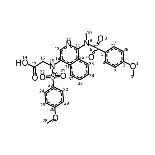 COc1ccc(S(=O)(=O)N(C)c2ncc(N(CC(=O)O)S(=O)(=O)c3ccc(OC)cc3)c3ccccc23)cc1